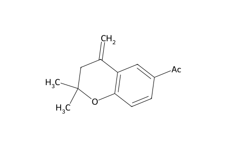 C=C1CC(C)(C)Oc2ccc(C(C)=O)cc21